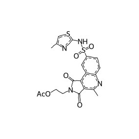 CC(=O)OCCN1C(=O)c2c(C)nc3ccc(S(=O)(=O)Nc4nc(C)cs4)cc3c2C1=O